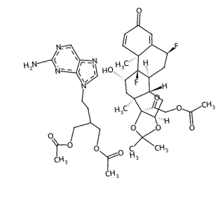 CC(=O)OCC(=O)[C@@]12OC(C)(C)O[C@@H]1C[C@H]1[C@@H]3C[C@H](F)C4=CC(=O)C=C[C@]4(C)[C@@]3(F)[C@@H](O)C[C@@]12C.CC(=O)OCC(CCn1cnc2cnc(N)nc21)COC(C)=O